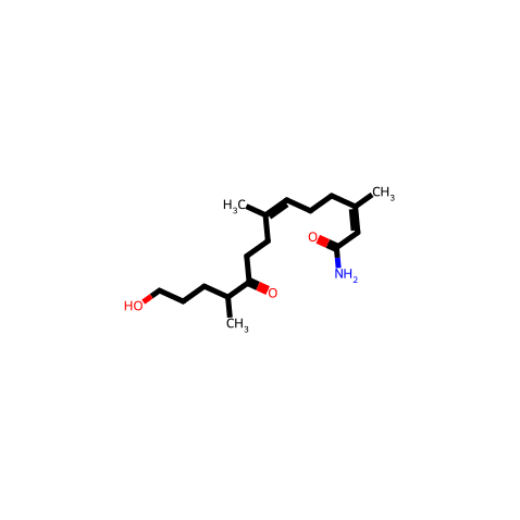 CC(=CC(N)=O)CCC=C(C)CCC(=O)C(C)CCCO